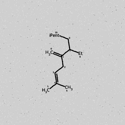 C=C(CC=C(C)C)C(CC)CC(C)CCC